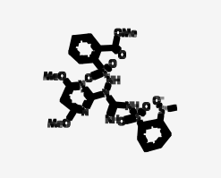 COC(=O)c1ccccc1S(=O)(=O)NN(C(=N)NS(=O)(=O)c1ccccc1[S+](C)[O-])c1nc(OC)cc(OC)n1